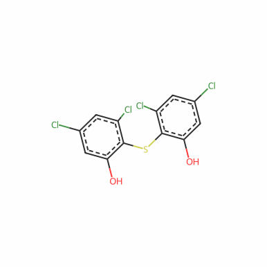 Oc1cc(Cl)cc(Cl)c1Sc1c(O)cc(Cl)cc1Cl